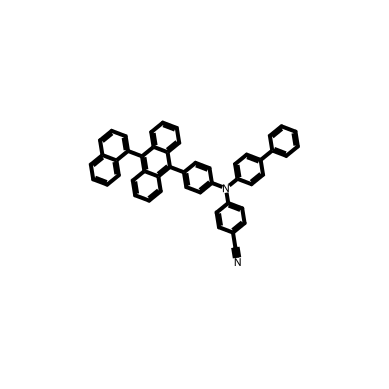 N#Cc1ccc(N(c2ccc(-c3ccccc3)cc2)c2ccc(-c3c4ccccc4c(-c4cccc5ccccc45)c4ccccc34)cc2)cc1